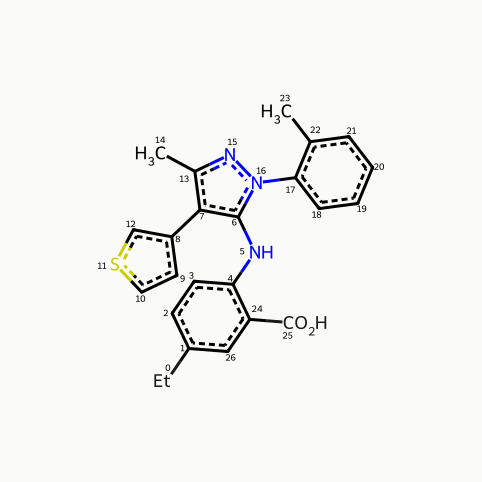 CCc1ccc(Nc2c(-c3ccsc3)c(C)nn2-c2ccccc2C)c(C(=O)O)c1